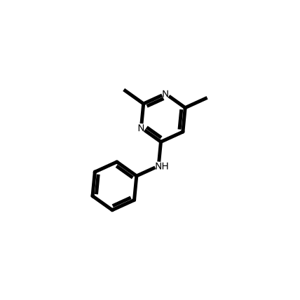 Cc1cc(Nc2ccccc2)nc(C)n1